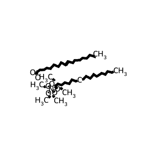 CCCCCCCCC=CCCCCCCCC(=O)[O-].CCCCCCCCCCCCCCCCCC(OCC)(OCC)[N+](OCC)(OCC)OCC